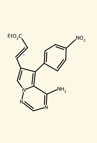 CCOC(=O)/C=C/c1cn2ncnc(N)c2c1-c1ccc([N+](=O)[O-])cc1